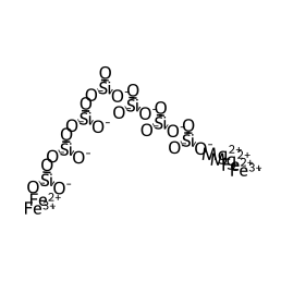 O=[Si]([O-])[O-].O=[Si]([O-])[O-].O=[Si]([O-])[O-].O=[Si]([O-])[O-].O=[Si]([O-])[O-].O=[Si]([O-])[O-].O=[Si]([O-])[O-].[Fe+2].[Fe+2].[Fe+3].[Fe+3].[Mg+2].[Mg+2]